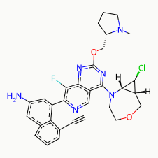 C#Cc1cccc2cc(N)cc(-c3ncc4c(N5CCOC[C@H]6[C@H](Cl)[C@H]65)nc(OC[C@@H]5CCCN5C)nc4c3F)c12